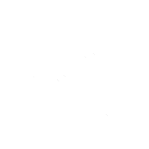 CC(Oc1ccc2c(c1)c(/C=C/c1ccc(CO)nn1)nn2C1CCCCO1)c1c(Cl)cncc1Cl